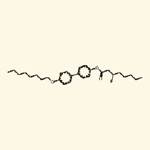 CCCCCCCCOc1ccc(-c2ccc(OC(=O)CC(F)CCCCC)cc2)cc1